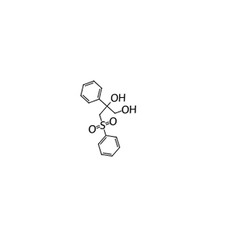 O=S(=O)(CC(O)(CO)c1ccccc1)c1ccccc1